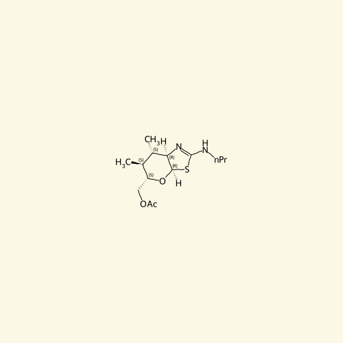 CCCNC1=N[C@@H]2[C@@H](C)[C@H](C)[C@@H](COC(C)=O)O[C@@H]2S1